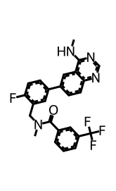 CNc1ncnc2ccc(-c3ccc(F)c(CN(C)C(=O)c4cccc(C(F)(F)F)c4)c3)cc12